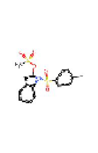 Cc1ccc(S(=O)(=O)n2c(OS(=O)(=O)C(F)(F)F)cc3ccccc32)cc1